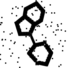 c1ccc2c(c1)ccn2-c1cnccn1